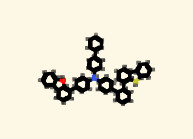 c1ccc(-c2ccc(N(c3ccc(-c4ccccc4-c4cccc5c4sc4ccccc45)cc3)c3ccc(-c4cccc5c4oc4ccccc45)cc3)cc2)cc1